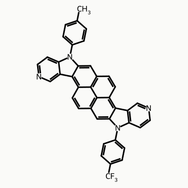 Cc1ccc(-n2c3ccncc3c3c4ccc5cc6c(c7ccc(cc32)c4c57)c2cnccc2n6-c2ccc(C(F)(F)F)cc2)cc1